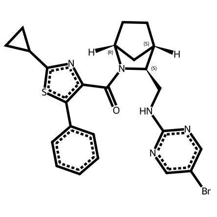 O=C(c1nc(C2CC2)sc1-c1ccccc1)N1[C@@H]2CC[C@@H](C2)[C@H]1CNc1ncc(Br)cn1